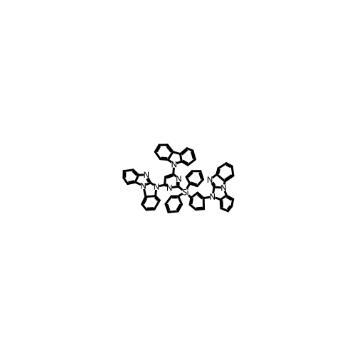 c1ccc([Si](c2ccccc2)(c2cccc(-n3c4ccccc4n4c5ccccc5nc34)c2)c2nc(-n3c4ccccc4c4ccccc43)cc(-n3c4ccccc4n4c5ccccc5nc34)n2)cc1